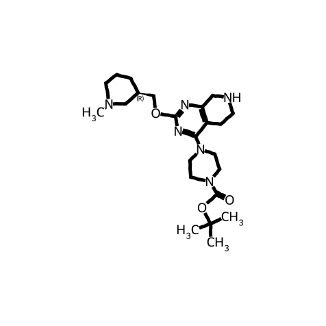 CN1CCC[C@@H](COc2nc3c(c(N4CCN(C(=O)OC(C)(C)C)CC4)n2)CCNC3)C1